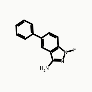 Nc1nn(F)c2ccc(-c3ccccc3)cc12